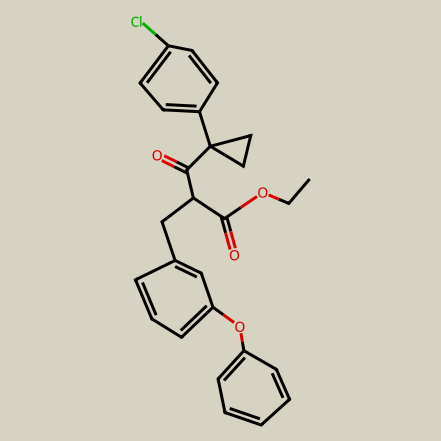 CCOC(=O)C(Cc1cccc(Oc2ccccc2)c1)C(=O)C1(c2ccc(Cl)cc2)CC1